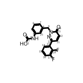 O=C(O)Nc1cccc(Cn2nc(-c3cccc(F)c3F)ccc2=O)c1